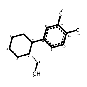 OC[C@@H]1CCCCC1c1ccc(Cl)c(Cl)c1